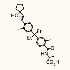 CCC(CC)(c1ccc(/C=C/C2(O)CCCC2)c(C)c1)c1ccc(C(=O)NC(C)C(=O)O)c(C)c1